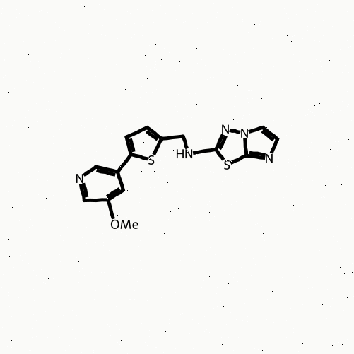 COc1cncc(-c2ccc(CNc3nn4ccnc4s3)s2)c1